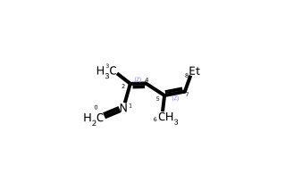 C=N/C(C)=C\C(C)=C/CC